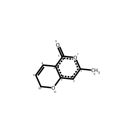 Cc1cc2c(c(=O)o1)C=CCO2